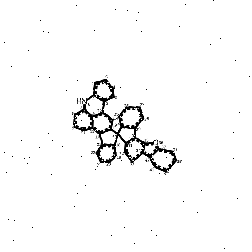 c1ccc2c(c1)Nc1cccc3c4c(cc-2c13)C1(c2ccccc2-4)c2ccccc2-c2c1ccc1c2oc2ccccc21